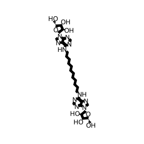 OC[C@H]1O[C@@H](n2cnc3c(NCCCCCCCCCCCCNc4ncnc5c4ncn5[C@@H]4O[C@H](CO)[C@@H](O)[C@H]4O)ncnc32)[C@H](O)[C@@H]1O